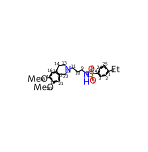 CCc1ccc(S(=O)(=O)NCCCN2CCc3cc(OC)c(OC)cc3C2)cc1